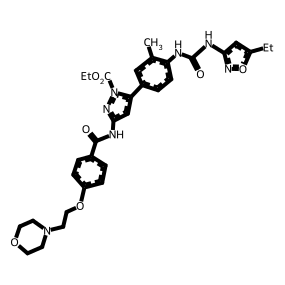 CCOC(=O)n1nc(NC(=O)c2ccc(OCCN3CCOCC3)cc2)cc1-c1ccc(NC(=O)Nc2cc(CC)on2)c(C)c1